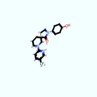 O=C1N([C@H]2CC[C@H](O)CC2)CC[C@]12CCCN(c1ccc(C(F)(F)F)cn1)C2